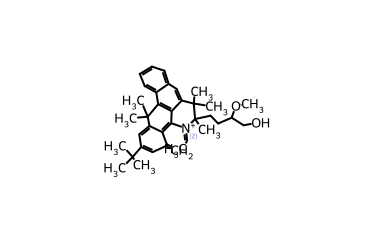 C=c1cc(C(C)(C)C)cc2c1=C1c3c(cc4ccccc4c3C2(C)C)C(C)(C)C(C)(CCC(CO)OC)/[N+]1=C/C